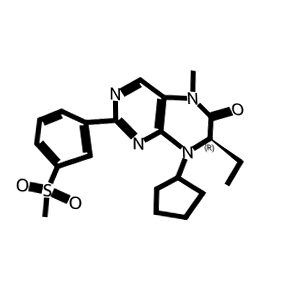 CC[C@@H]1C(=O)N(C)c2cnc(-c3cccc(S(C)(=O)=O)c3)nc2N1C1CCCC1